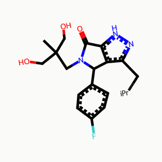 CC(C)Cc1n[nH]c2c1C(c1ccc(F)cc1)N(CC(C)(CO)CO)C2=O